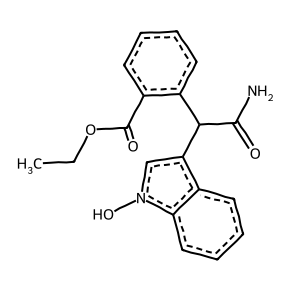 CCOC(=O)c1ccccc1C(C(N)=O)c1cn(O)c2ccccc12